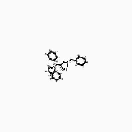 O[C@@H](CNCc1ccccc1)[C@@H](c1ccccc1)n1ccc2ccccc21